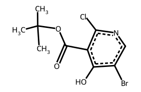 CC(C)(C)OC(=O)c1c(Cl)ncc(Br)c1O